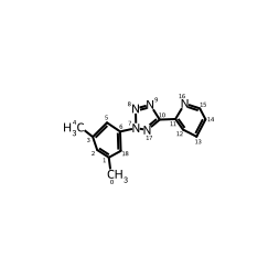 Cc1cc(C)cc(-n2nnc(-c3ccccn3)n2)c1